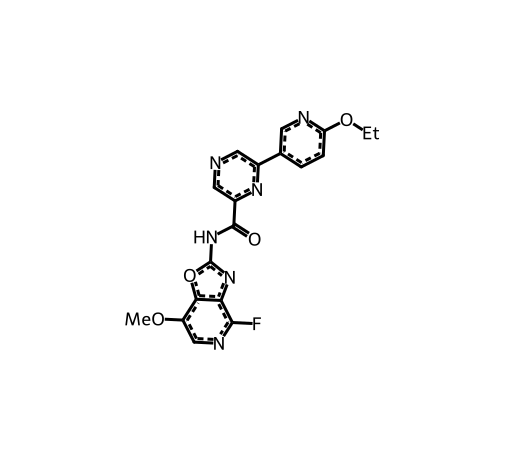 CCOc1ccc(-c2cncc(C(=O)Nc3nc4c(F)ncc(OC)c4o3)n2)cn1